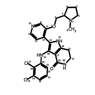 CN1CCCC1COc1cnccc1-c1[nH]c2c(c1Nc1cccc(Cl)c1Cl)C(=O)NCC2